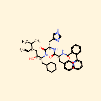 C=C[C@H](C[C@H](O)[C@H](CC1CCCCC1)NC(=O)[C@H](Cc1c[nH]cn1)NC(=O)[C@H](Cc1ccccc1)NC(=O)c1ccccc1-c1ccccn1)C(C)C